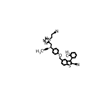 CC#C[C@@H](Cc1nnnn1CCC#N)c1ccc(OCc2ccc3sc(C#N)c(-c4ccccc4C)c3c2)cc1